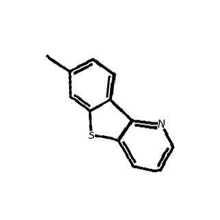 Cc1ccc2c(c1)sc1cccnc12